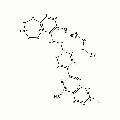 C[C@H](NC(=O)c1ccc(CSc2c(Cl)ccc3c2CCNCC3)cc1)c1ccc(Cl)cc1.O=C(O)CCC(=O)O